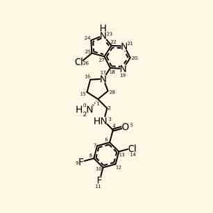 N[C@]1(CNC(=O)c2cc(F)c(F)cc2Cl)CCN(c2ncnc3[nH]cc(Cl)c23)C1